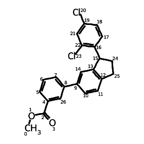 COC(=O)c1cccc(-c2ccc3c(c2)C(c2ccc(Cl)cc2Cl)CC3)c1